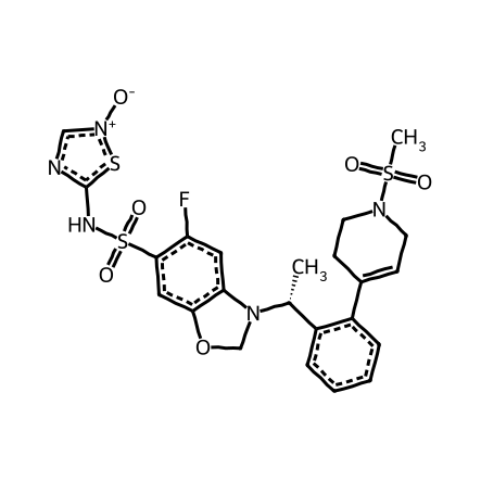 C[C@H](c1ccccc1C1=CCN(S(C)(=O)=O)CC1)N1COc2cc(S(=O)(=O)Nc3nc[n+]([O-])s3)c(F)cc21